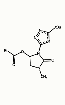 CCC(=O)OC1CN(C)C(=O)N1c1nnc(C(C)(C)C)s1